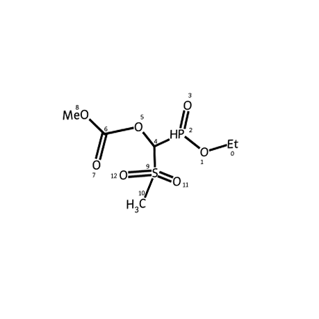 CCO[PH](=O)C(OC(=O)OC)S(C)(=O)=O